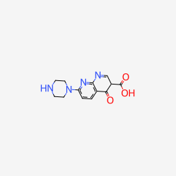 O=C(O)C1C=Nc2nc(N3CCNCC3)ccc2C1=O